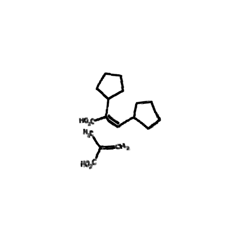 C=C(C)C(=O)O.O=C(O)C(=CC1CCCC1)C1CCCC1